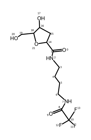 O=C(NCCCCNC(=O)C(F)(F)F)C1CC(O)C(CO)O1